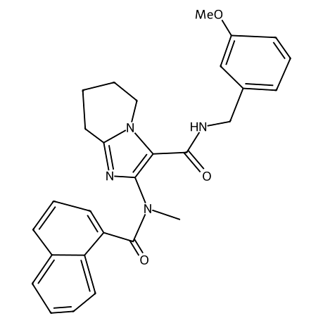 COc1cccc(CNC(=O)c2c(N(C)C(=O)c3cccc4ccccc34)nc3n2CCCC3)c1